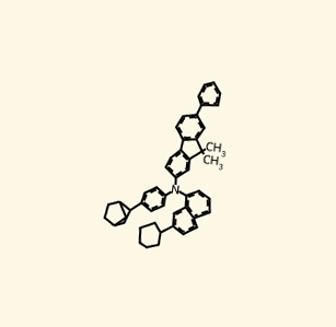 CC1(C)c2cc(-c3ccccc3)ccc2-c2ccc(N(c3ccc(C4CC5CCC4C5)cc3)c3cccc4ccc(C5CCCCC5)cc34)cc21